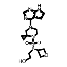 O=S(=O)(N(CCO)C1COC1)N1CCN(c2ncnc3[nH]ccc23)CC12CC2